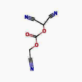 N#CCOC(=O)OC(C#N)C#N